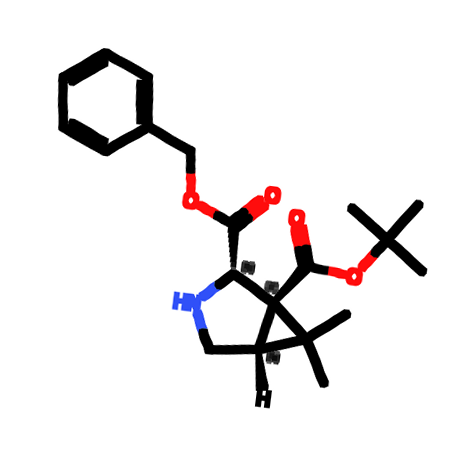 CC(C)(C)OC(=O)[C@]12[C@@H](C(=O)OCc3ccccc3)NC[C@H]1C2(C)C